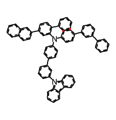 c1ccc(-c2cccc(-c3ccc(N(c4ccc(-c5cccc(-n6c7ccccc7c7ccccc76)c5)cc4)c4cc(-c5ccc6ccccc6c5)ccc4-c4ccccc4)cc3)c2)cc1